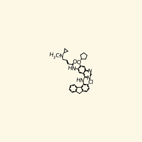 CN(CC=CC(=O)Nc1cc2c(Nc3c(Cl)ccc4c3-c3ccccc3C4)ncnc2cc1OC1CCCC1)C1CC1